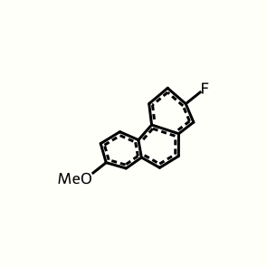 COc1ccc2c(ccc3cc(F)ccc32)c1